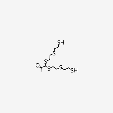 CC(=O)C(SCCSCCS)SCCSCCS